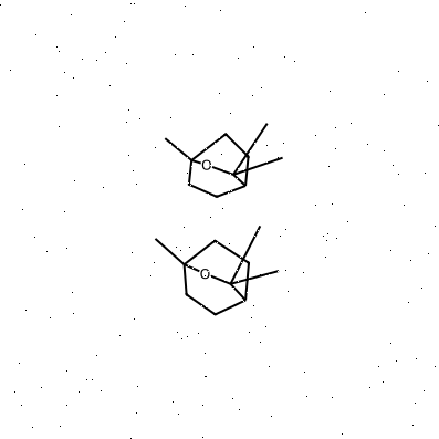 CC12CCC(CC1)C(C)(C)O2.CC12CCC(CC1)C(C)(C)O2